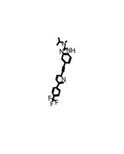 CC(C)N(C)c1nc2cc(C#Cc3ccc(-c4ccc(C(F)(F)F)cc4)cn3)ccc2[nH]1